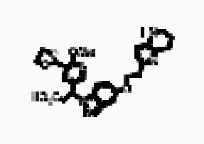 COc1ncc(C(CC(=O)O)n2ncc3cc(OCCc4ccc5c(n4)CCCN5)ccc32)cc1C1OCCO1